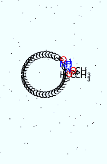 CC(C)(C)OC(=O)NC1CCCCCCCCCCCCCCCCCCCCCCCCCCCCCCCCCCCCCC2(CC2)C(=O)NC1